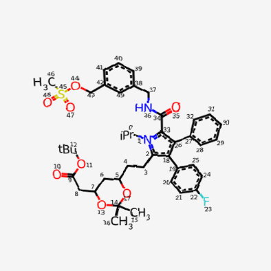 CC(C)n1c(CCC2CC(CC(=O)OC(C)(C)C)OC(C)(C)O2)c(-c2ccc(F)cc2)c(-c2ccccc2)c1C(=O)NCc1cccc(COS(C)(=O)=O)c1